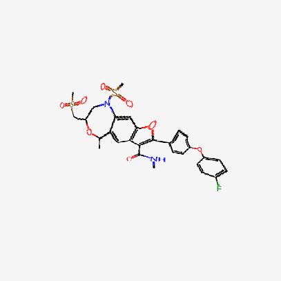 CNC(=O)c1c(-c2ccc(Oc3ccc(F)cc3)cc2)oc2cc3c(cc12)C(C)OC(CS(C)(=O)=O)CN3S(C)(=O)=O